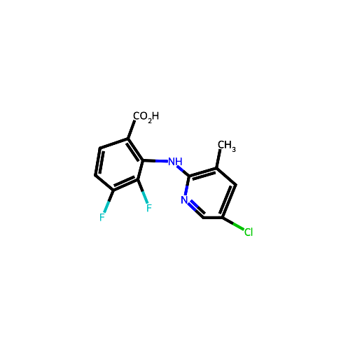 Cc1cc(Cl)cnc1Nc1c(C(=O)O)ccc(F)c1F